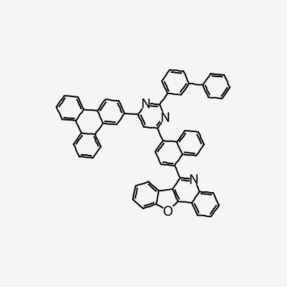 c1ccc(-c2cccc(-c3nc(-c4ccc5c6ccccc6c6ccccc6c5c4)cc(-c4ccc(-c5nc6ccccc6c6oc7ccccc7c56)c5ccccc45)n3)c2)cc1